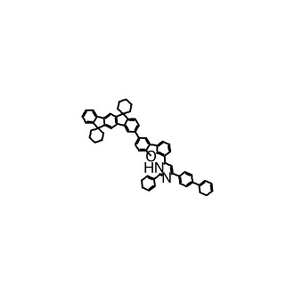 C1=CCCC(c2ccc(C3=CC(c4cccc5c4oc4ccc(-c6ccc7c(c6)-c6cc8c(cc6C76CCCCC6)-c6ccccc6C86CCCCC6)cc45)NC(C4=CCCC=C4)=N3)cc2)=C1